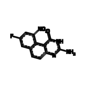 Nc1nc2ccc3cc(F)cc([N+](=O)[O-])c3c2c(=O)[nH]1